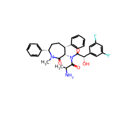 C[C@H](N)C(=O)N(C(=O)[C@@H](O)c1cc(F)cc(F)c1)[C@@H]1C(=O)N(C)[C@H](c2ccccc2)CC[C@@H]1c1ccccc1